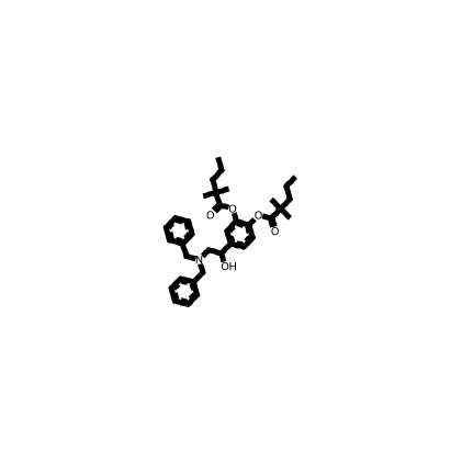 CCCC(C)(C)C(=O)Oc1ccc(C(O)CN(Cc2ccccc2)Cc2ccccc2)cc1OC(=O)C(C)(C)CCC